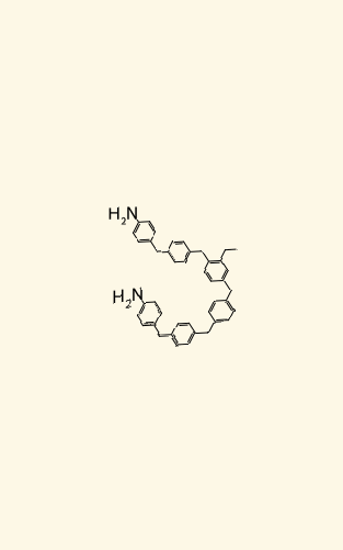 CCc1cc(Cc2ccc(Cc3ccc(Cc4ccc(N)cc4)cc3)cc2)ccc1Cc1ccc(Cc2ccc(N)cc2)cc1